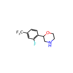 Fc1cc(C(F)(F)F)ccc1C1CNCCO1